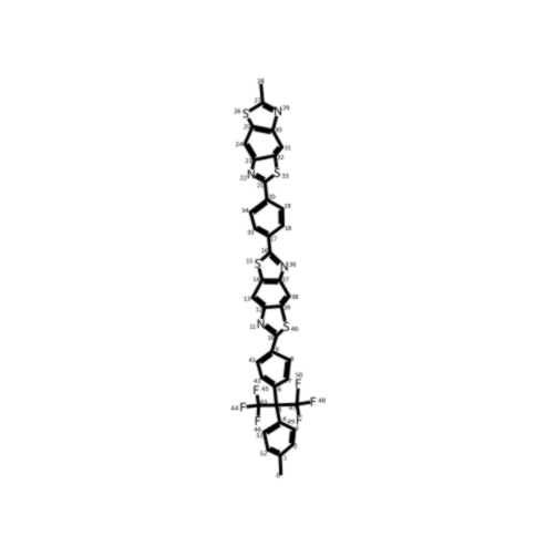 Cc1ccc(C(c2ccc(-c3nc4cc5sc(-c6ccc(-c7nc8cc9sc(C)nc9cc8s7)cc6)nc5cc4s3)cc2)(C(F)(F)F)C(F)(F)F)cc1